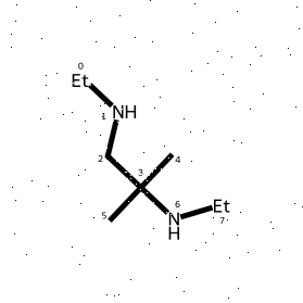 CCNCC(C)(C)NCC